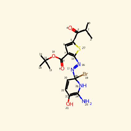 CC(C)C(=O)c1cc(C(=O)OC(C)(C)C)c(N=NC2(Br)C=CC(O)=C(N)N2)s1